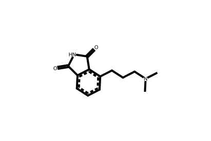 CN(C)CCCc1cccc2c1C(=O)NC2=O